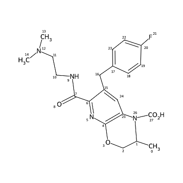 CC1COc2nc(C(=O)NCCN(C)C)c(Cc3ccc(F)cc3)cc2N1C(=O)O